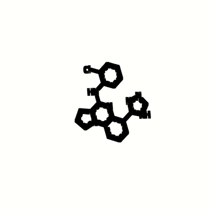 Clc1ccccc1Nc1nc2c(-c3nnc[nH]3)cccc2n2cccc12